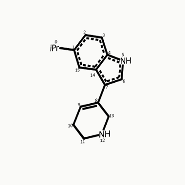 CC(C)c1ccc2[nH]cc(C3=CCCNC3)c2c1